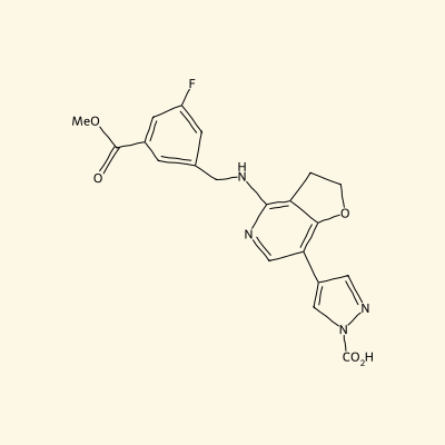 COC(=O)c1cc(F)cc(CNc2ncc(-c3cnn(C(=O)O)c3)c3c2CCO3)c1